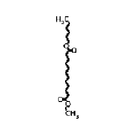 CCCCCCOC(=O)CCCCCCCCCCC(=O)OCC